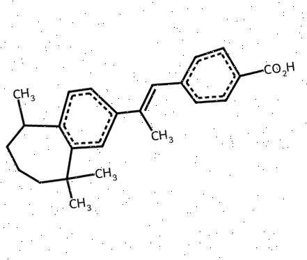 C/C(=C\c1ccc(C(=O)O)cc1)c1ccc2c(c1)C(C)(C)CCCC2C